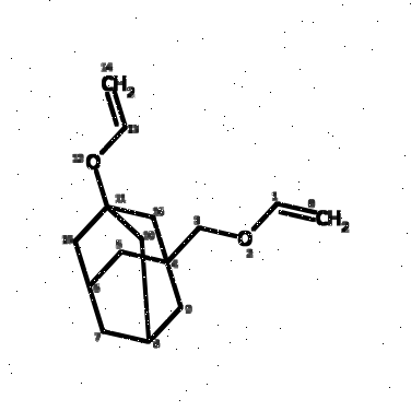 C=COCC12CC3CC(C1)CC(OC=C)(C3)C2